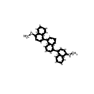 COc1ccc(-c2cccc3c(-c4ccc(OC)c5ccccc45)cccc23)c2ccccc12